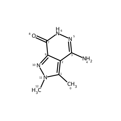 Cc1c2c(N)n[nH]c(=O)c2nn1C